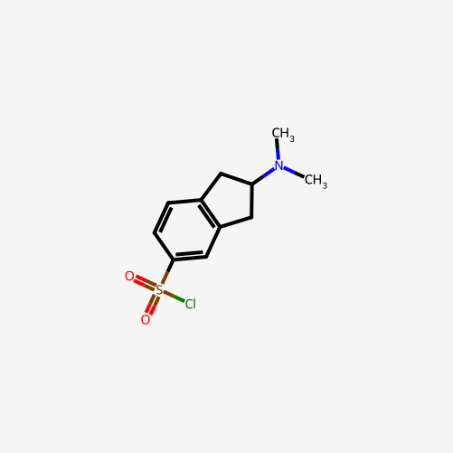 CN(C)C1Cc2ccc(S(=O)(=O)Cl)cc2C1